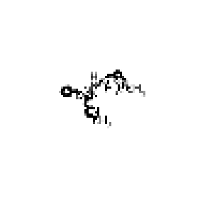 Cc1ccc(Cc2cnc(NCCSCc3ccc(CN(C)C)o3)nc2OCc2ccccc2)cn1